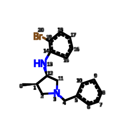 C[C@@H]1CN(Cc2ccccc2)C[C@@H]1Nc1ccccc1Br